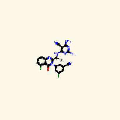 C[C@H](Nc1nc(N)nc(N)c1C#N)c1nc2cccc(F)c2c(=O)n1-c1cc(F)cc(C#N)c1